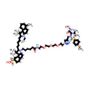 CCN1\C(=C/C=C/C=C/C2=[N+](CCCCCC(=O)NCCOCCOCCOCCn3cc(CN([C@@H](C(=O)NO)C(C)C)S(=O)(=O)c4ccc(OC)cc4)nn3)c3ccc4ccc(S(=O)(=O)O)cc4c3C2(C)C)C(C)(C)c2c1ccc1c(C)cccc21